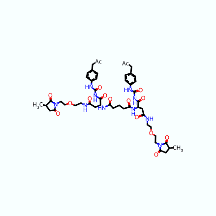 CC(=O)Cc1ccc(NC(=O)NC(=O)C(CC(=O)NCCOCCN2C(=O)CC(C)C2=O)NC(=O)CCCC(=O)NC(CC(=O)NCCOCCN2C(=O)CC(C)C2=O)C(=O)NC(=O)Nc2ccc(CC(C)=O)cc2)cc1